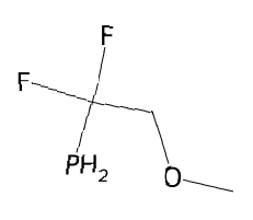 COCC(F)(F)P